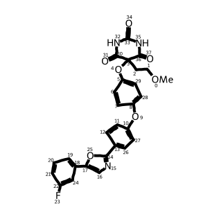 COCCC1(Oc2ccc(Oc3ccc(-c4ncc(-c5cccc(F)c5)o4)cc3)cc2)C(=O)NC(=O)NC1=O